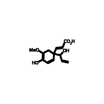 C=CC(O)C1(C=CC(=O)O)C=CC(O)=C(OC)C1